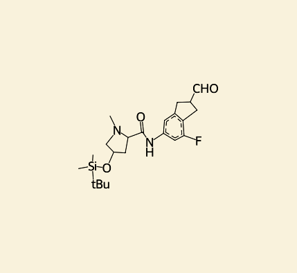 CN1CC(O[Si](C)(C)C(C)(C)C)CC1C(=O)Nc1cc(F)c2c(c1)CC(C=O)C2